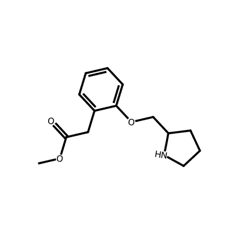 COC(=O)Cc1ccccc1OCC1CCCN1